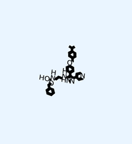 CC(C)c1ccc(COc2ccc(-c3c(-c4ccncc4)n[nH]c3NCCCNC(O)OCc3ccccc3)cc2)cc1